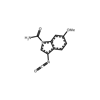 COc1ccc2c(N=C=O)cn(C(N)=O)c2c1